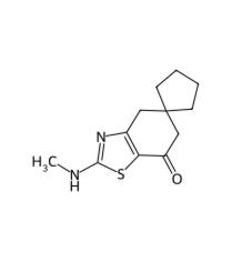 CNc1nc2c(s1)C(=O)CC1(CCCC1)C2